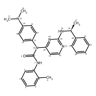 Cc1ccccc1NC(=O)N(c1ccc(N(C)C)cc1)c1ccnc(N[C@@H](C)c2ccccc2)n1